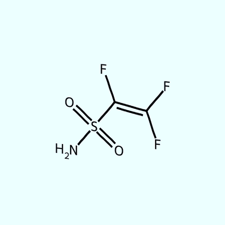 NS(=O)(=O)C(F)=C(F)F